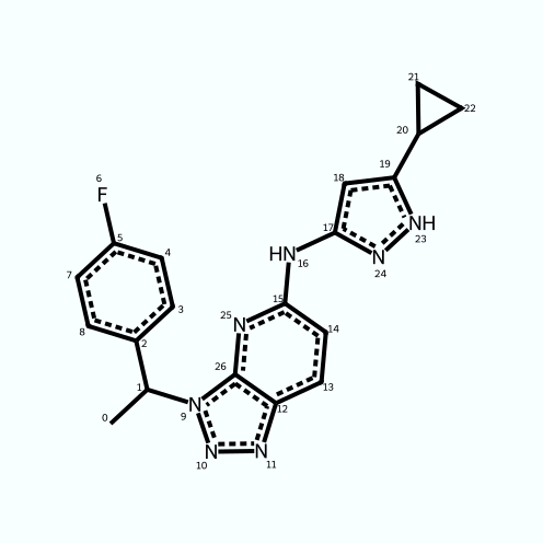 CC(c1ccc(F)cc1)n1nnc2ccc(Nc3cc(C4CC4)[nH]n3)nc21